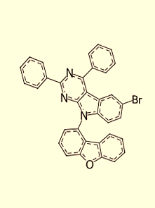 Brc1ccc2c(c1)c1c(-c3ccccc3)nc(-c3ccccc3)nc1n2-c1cccc2oc3ccccc3c12